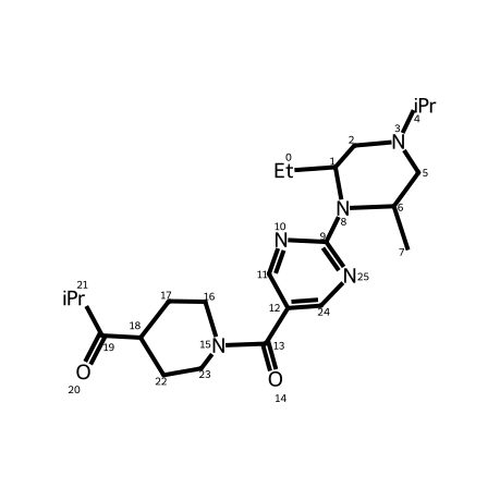 CCC1CN(C(C)C)CC(C)N1c1ncc(C(=O)N2CCC(C(=O)C(C)C)CC2)cn1